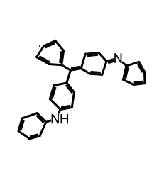 [c]1ccc(C(=C2C=CC(=Nc3ccccc3)C=C2)c2ccc(Nc3ccccc3)cc2)cc1